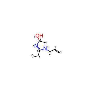 C=CCN1CC(O)N=C1CC